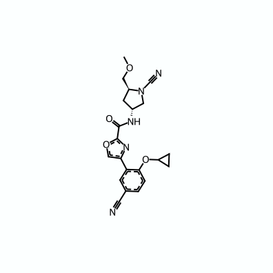 COC[C@@H]1C[C@@H](NC(=O)c2nc(-c3cc(C#N)ccc3OC3CC3)co2)CN1C#N